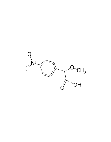 COC(C(=O)O)c1ccc([N+](=O)[O-])cc1